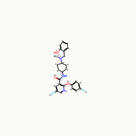 CC(=O)N(Cc1ccccc1O)C1CCC(NC(=O)c2cc(F)cnc2Oc2ccc(F)cc2)CC1